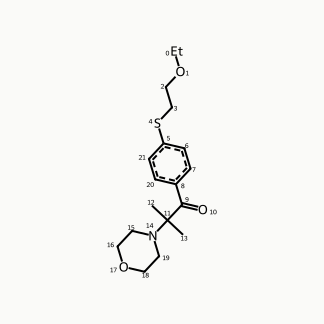 CCOCCSc1ccc(C(=O)C(C)(C)N2CCOCC2)cc1